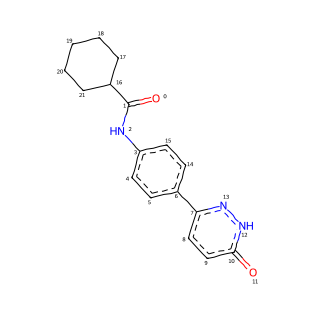 O=C(Nc1ccc(-c2ccc(=O)[nH]n2)cc1)C1CCCCC1